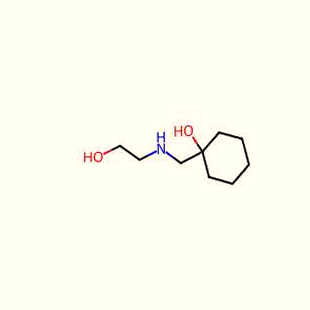 OCCNCC1(O)CCCCC1